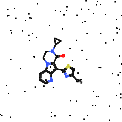 Cc1csc(-c2c3n(c4cccnc24)CCN(C2CC2)C3=O)n1